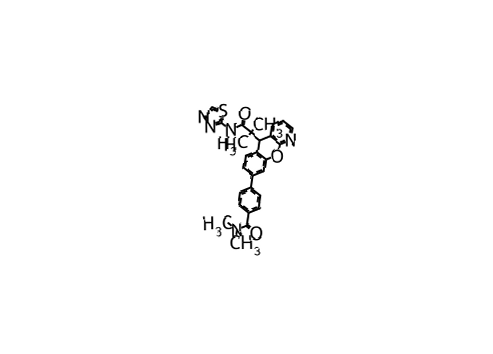 CN(C)C(=O)c1ccc(-c2ccc3c(c2)Oc2ncccc2C3C(C)(C)C(=O)Nc2nncs2)cc1